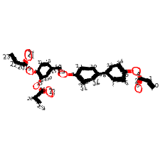 C=CC(=O)Oc1ccc(-c2ccc(OCc3ccc(OC(=O)C=C)c(OC(=O)C=C)c3)cc2)cc1